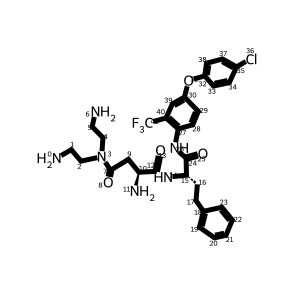 NCCN(CCN)C(=O)C[C@H](N)C(=O)N[C@@H](CCc1ccccc1)C(=O)Nc1ccc(Oc2ccc(Cl)cc2)cc1C(F)(F)F